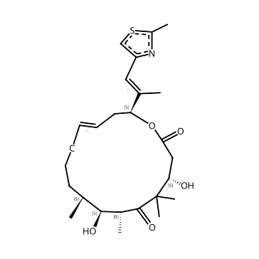 C/C(=C\c1csc(C)n1)[C@@H]1C/C=C/CCC[C@H](C)[C@H](O)[C@@H](C)C(=O)C(C)(C)[C@@H](O)CC(=O)O1